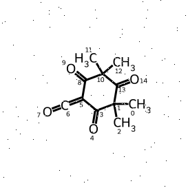 CC1(C)C(=O)C(=C=O)C(=O)C(C)(C)C1=O